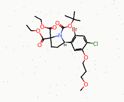 CCOC(=O)C1(C(=O)OCC)CC[C@H](c2cc(OCCCOC)c(Cl)cc2Br)N1C(=O)OC(C)(C)C